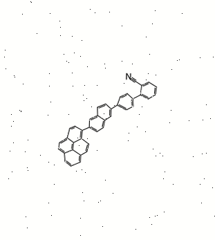 N#Cc1ccccc1-c1ccc(-c2ccc3cc(-c4ccc5ccc6cccc7ccc4c5c67)ccc3c2)cc1